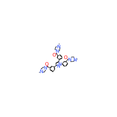 CN1CCN(C(=O)c2cccc(-c3cc(-c4cccc(C(=O)N5CCN(C)CC5)c4)n(-c4cccc(C(=O)N5CCN(C)CC5)c4)n3)c2)CC1